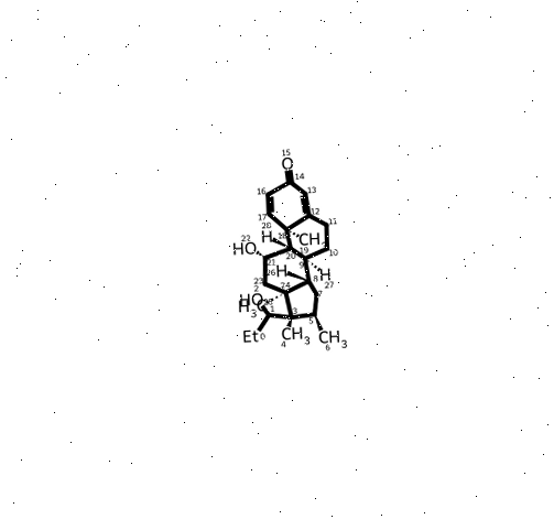 CCC(O)[C@@]1(C)[C@H](C)C[C@H]2[C@@H]3CCC4=CC(=O)C=C[C@]4(C)[C@H]3[C@@H](O)C[C@@]21C